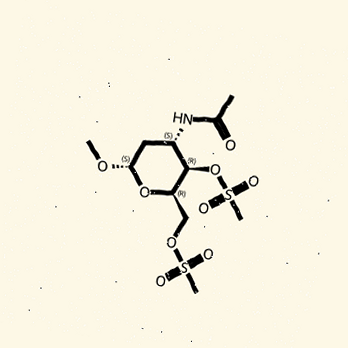 CO[C@@H]1C[C@H](NC(C)=O)[C@@H](OS(C)(=O)=O)[C@@H](COS(C)(=O)=O)O1